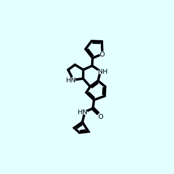 O=C(NC1=CC=C1)c1ccc2c(c1)C1NCCC1C(c1ccco1)N2